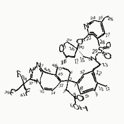 CCC(CC(=O)O)(c1ccc(C)c(CN2C[C@@]3(CCOC3)Oc3ncc(C)cc3S2(=O)=O)c1)c1ccn2c(C(F)(F)F)nnc2c1C